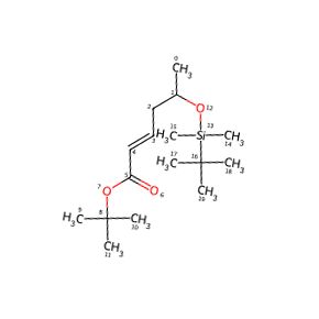 CC(CC=CC(=O)OC(C)(C)C)O[Si](C)(C)C(C)(C)C